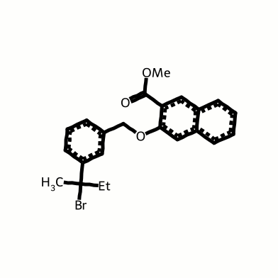 CCC(C)(Br)c1cccc(COc2cc3ccccc3cc2C(=O)OC)c1